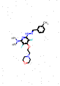 CCCN(CCC)c1nc(N/N=C/c2cccc(C)c2)c(F)c(OCCN2CCOCC2)c1F